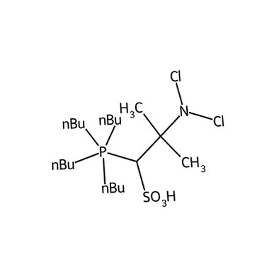 CCCCP(CCCC)(CCCC)(CCCC)C(C(C)(C)N(Cl)Cl)S(=O)(=O)O